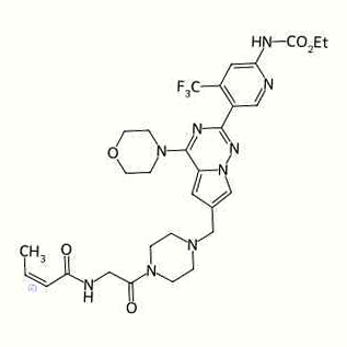 C/C=C\C(=O)NCC(=O)N1CCN(Cc2cc3c(N4CCOCC4)nc(-c4cnc(NC(=O)OCC)cc4C(F)(F)F)nn3c2)CC1